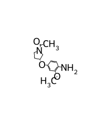 COc1cc(O[C@@H]2CCN(C(C)=O)C2)ccc1N